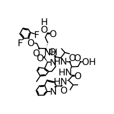 Cc1ccc2c(c1)CCN(C(=O)[C@@H](NC(=O)C(CC(=O)O)NC(=O)[C@@H](NC(=O)c1ccc3ccccc3n1)C(C)C)C(C)C)[C@@H]2C(=O)N[C@@H](CCC(=O)O)C(=O)COc1c(F)cccc1F